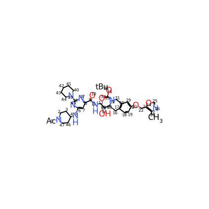 CC(=O)N1CCC(Nc2cc(C(=O)NC[C@@H](O)[C@@H]3Cc4ccc(OCc5ocnc5C)cc4CN3C(=O)OC(C)(C)C)nc(N3CCCCC3)n2)CC1